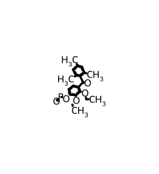 CCOc1c(OP=O)ccc(C(=O)c2c(C)cc(C)cc2C)c1OCC